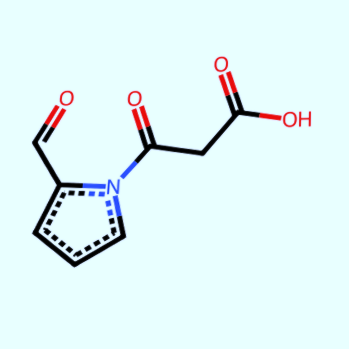 O=Cc1cccn1C(=O)CC(=O)O